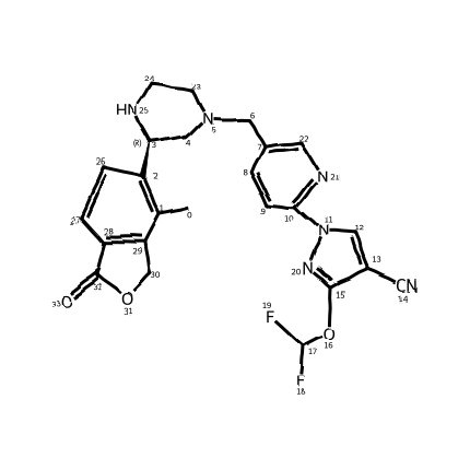 Cc1c([C@@H]2CN(Cc3ccc(-n4cc(C#N)c(OC(F)F)n4)nc3)CCN2)ccc2c1COC2=O